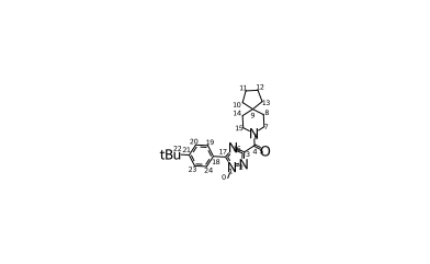 Cn1nc(C(=O)N2CCC3(CCCC3)CC2)nc1-c1ccc(C(C)(C)C)cc1